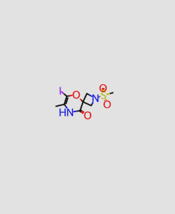 CC1=C(I)OC2(CN(S(C)(=O)=O)C2)C(=O)N1